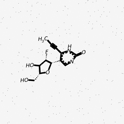 CC#Cc1[nH]c(=O)ncc1[C@@H]1O[C@H](CO)C(O)[C@@H]1F